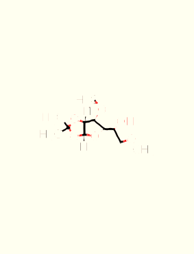 COC[C@@H](O)[C@@H]1O[C@@H]2OC(C)(C)O[C@@H]2[C@H]1OC